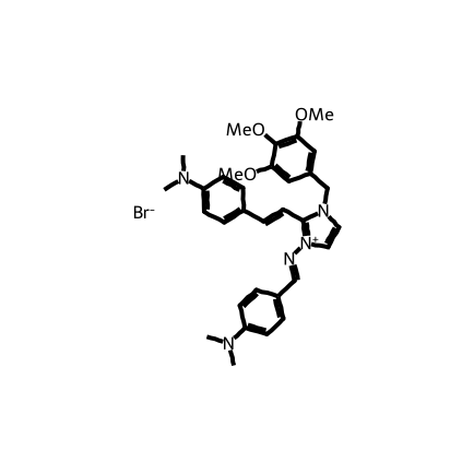 COc1cc(Cn2cc[n+](/N=C/c3ccc(N(C)C)cc3)c2/C=C/c2ccc(N(C)C)cc2)cc(OC)c1OC.[Br-]